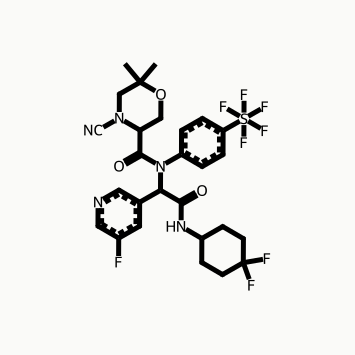 CC1(C)CN(C#N)C(C(=O)N(c2ccc(S(F)(F)(F)(F)F)cc2)C(C(=O)NC2CCC(F)(F)CC2)c2cncc(F)c2)CO1